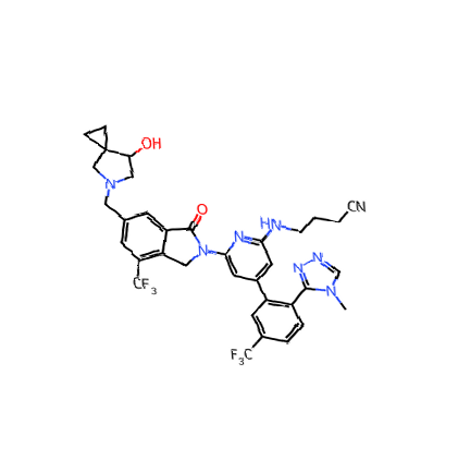 Cn1cnnc1-c1ccc(C(F)(F)F)cc1-c1cc(NCCCC#N)nc(N2Cc3c(cc(CN4CC(O)C5(CC5)C4)cc3C(F)(F)F)C2=O)c1